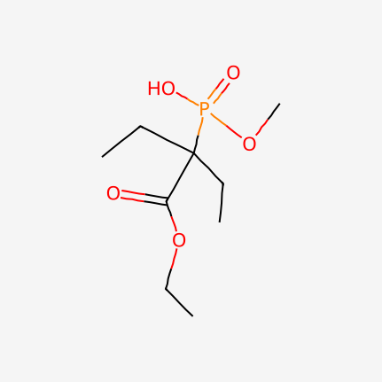 CCOC(=O)C(CC)(CC)P(=O)(O)OC